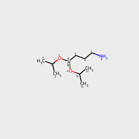 CC(C)O[SiH](CCCN)OC(C)C